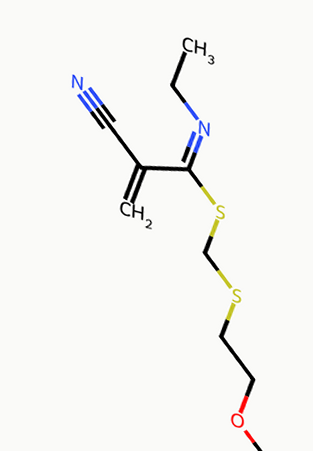 C=C(C#N)/C(=N\CC)SCSCCOC